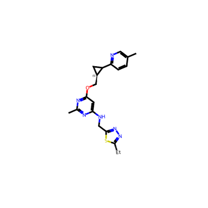 CCc1nnc(CNc2cc(OC[C@H]3CC3c3ccc(C)cn3)nc(C)n2)s1